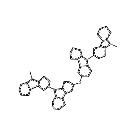 Cn1c2ccccc2c2cc(-n3c4ccccc4c4cc(Oc5ccc6c(c5)c5ccccc5n6-c5ccc6c(c5)c5ccccc5n6C)ccc43)ccc21